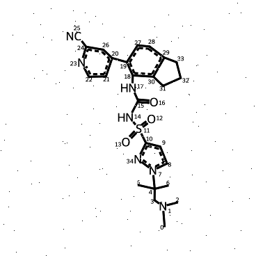 CN(C)CC(C)(C)n1ccc(S(=O)(=O)NC(=O)Nc2c(-c3ccnc(C#N)c3)ccc3c2CCC3)n1